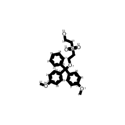 COc1ccc(C(OCCS(=O)(=O)CC[O])(c2ccccc2)c2ccc(OC)cc2)cc1